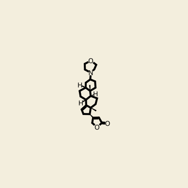 C[C@]12CCC(N3CCOCC3)C[C@H]1CC[C@H]1C3=CC[C@H](C4=CC(=O)OC4)[C@@]3(C)CC[C@@H]12